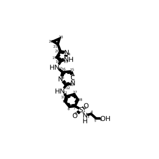 O=S(=O)(NCCO)c1ccc(Nc2nccc(Nc3cc(C4CC4)n[nH]3)n2)cc1